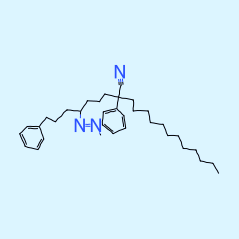 CCCCCCCCCCCCC(C#N)(CCCC(CCCc1ccccc1)N=NC)c1ccccc1